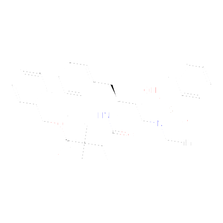 CC(C)CN(C[C@@H](O)[C@H](Cc1ccccc1)NC(=O)C(C)C(C)(C)C(=O)OCc1ccccc1)S(=O)(=O)c1ccccc1